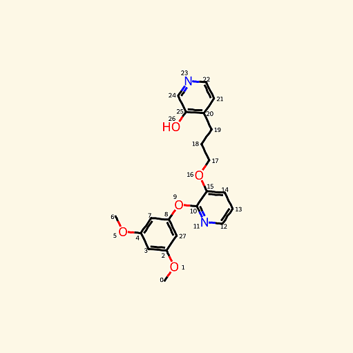 COc1cc(OC)cc(Oc2ncccc2OCCCc2ccncc2O)c1